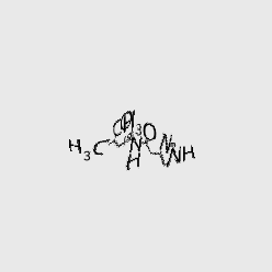 CC(C)C[C@@H](C=O)NC(=O)Cc1c[nH]cn1